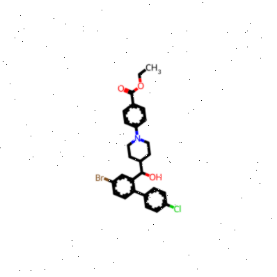 CCOC(=O)c1ccc(N2CCC(C(O)c3cc(Br)ccc3-c3ccc(Cl)cc3)CC2)cc1